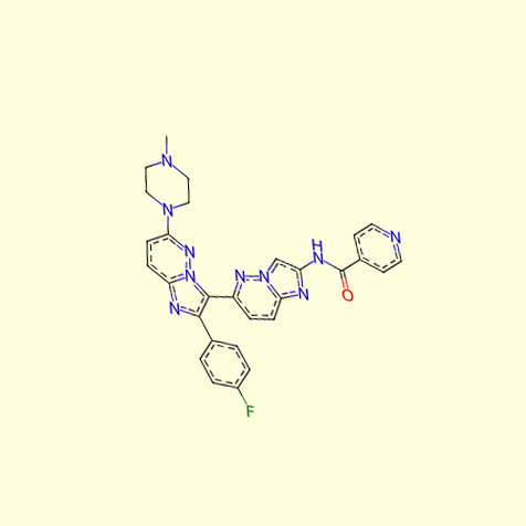 CN1CCN(c2ccc3nc(-c4ccc(F)cc4)c(-c4ccc5nc(NC(=O)c6ccncc6)cn5n4)n3n2)CC1